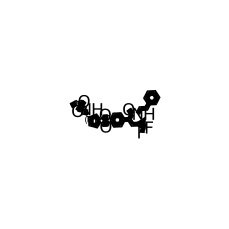 C=CS(=O)(=O)NC[C@H]1CCN(S(=O)(=O)c2ccc(C(CC3CC3(F)F)C(=O)NCCc3ccccc3)cc2)C1